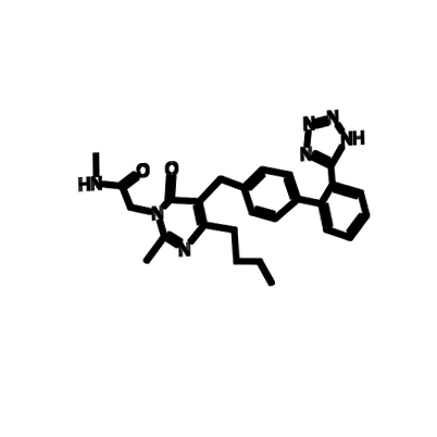 CCCCc1nc(C)n(CC(=O)NC)c(=O)c1Cc1ccc(-c2ccccc2-c2nnn[nH]2)cc1